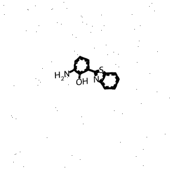 Nc1cccc(-c2nc3ccccc3s2)c1O